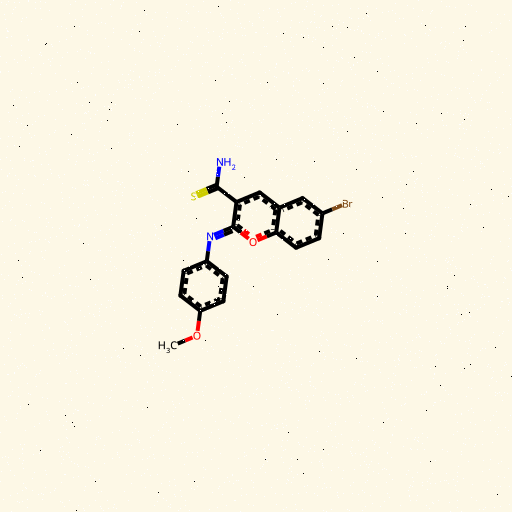 COc1ccc(/N=c2\oc3ccc(Br)cc3cc2C(N)=S)cc1